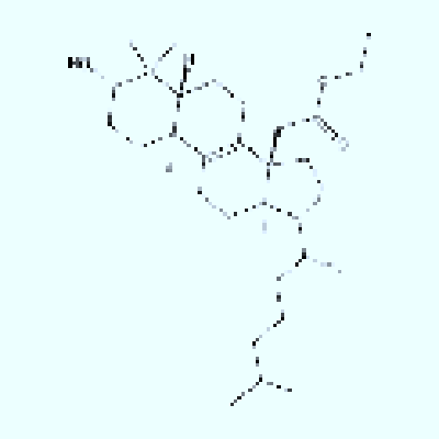 CCOC(=O)C[C@@]12CC[C@H]([C@H](C)CCCC(C)C)[C@@]1(C)CCC1=C2CC[C@H]2C(C)(C)[C@@H](O)CC[C@]12C